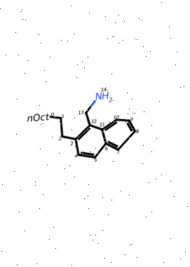 CCCCCCCCCCc1ccc2ccccc2c1CN